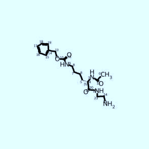 CC(=O)N[C@@H](CCCCNC(=O)OCc1ccccc1)C(=O)NCCN